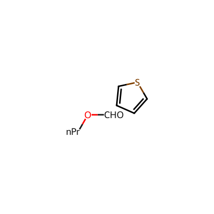 CCCOC=O.c1ccsc1